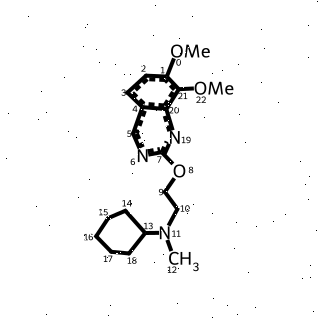 COc1ccc2cnc(OCCN(C)C3CCCCC3)nc2c1OC